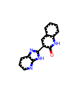 O=c1[nH]c2ccccc2cc1-c1nc2cccnc2[nH]1